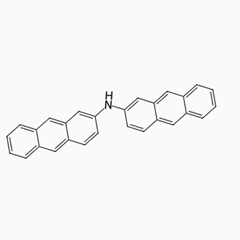 c1ccc2cc3cc(Nc4ccc5cc6ccccc6cc5c4)ccc3cc2c1